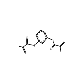 C=C(C)C(=O)Sc1cccc(SC(=O)C(=C)C)c1